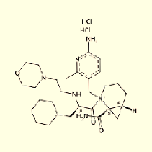 Cc1nc(N)ccc1C[N+]1(C(=O)[C@@H](CC2CCCCC2)NCCN2CCOCC2)CCC[C@@H]2C[C@@]21C(N)=O.Cl.Cl